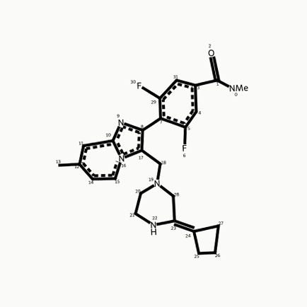 CNC(=O)c1cc(F)c(-c2nc3cc(C)ccn3c2CN2CCNC(=C3CCC3)C2)c(F)c1